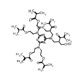 C=C(C)C(=O)OCCN(CCOC(=O)C(=C)C)c1nc(N(CCOC(=O)C(=C)C)CCOC(=O)C(=C)C)nc(N(CC(CC=O)C(=O)C(=C)C)CC(CC=O)C(=O)C(=C)C)n1